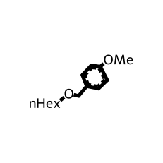 [CH2]CCCCCOCc1ccc(OC)cc1